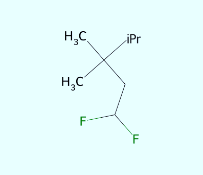 CC(C)C(C)(C)CC(F)F